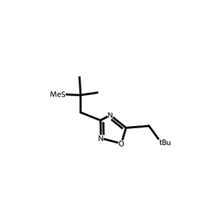 CSC(C)(C)Cc1noc(CC(C)(C)C)n1